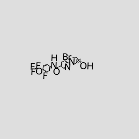 O=C(Nc1ccc(OC(F)(F)F)c(F)c1)c1cnc(N2CC[C@H](CO)C2)c(Br)c1